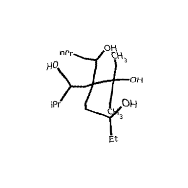 CCCC(O)C(CC(O)CC)(C(O)C(C)C)C(C)(C)O